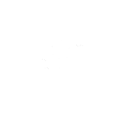 CNC(C)C(=O)c1c(C(C)C)nn2ccccc12